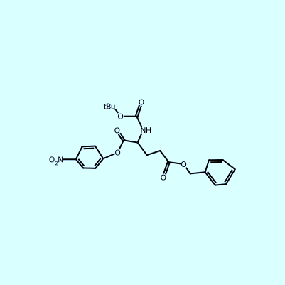 CC(C)(C)OC(=O)NC(CCC(=O)OCc1ccccc1)C(=O)Oc1ccc([N+](=O)[O-])cc1